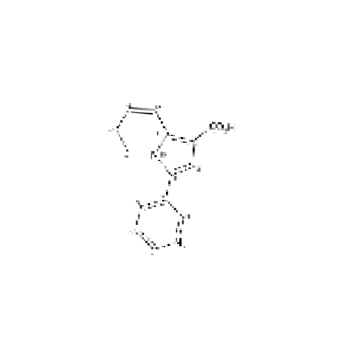 O=C(O)c1cc(-c2cccnc2)n2c1C=CCC2